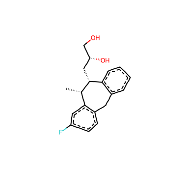 C[C@H]1c2cc(F)ccc2Cc2ccccc2[C@H]1C[C@@H](O)CO